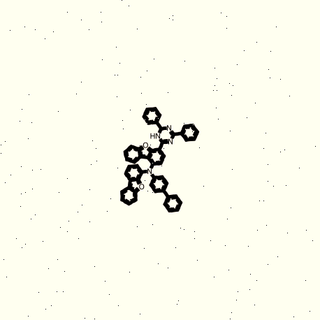 c1ccc(C2=NC(c3ccccc3)NC(c3ccc(N(c4ccc(-c5ccccc5)cc4)c4cccc5c4oc4ccccc45)c4c3oc3ccccc34)=N2)cc1